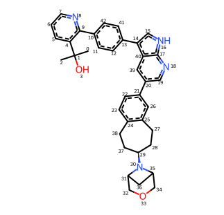 CC(C)(O)c1cccnc1-c1ccc(-c2c[nH]c3ncc(-c4ccc5c(c4)CC[C@@H](N4C6COCC4C6)CC5)cc23)cc1